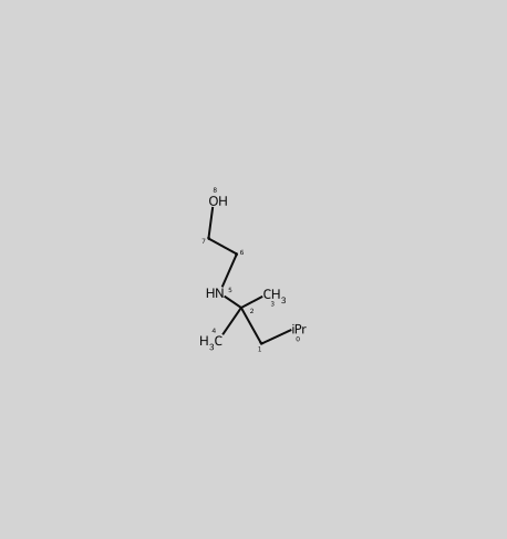 CC(C)CC(C)(C)NCCO